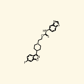 Fc1ccc2c(C3CCN(CCOC(=S)Nc4ccc5scnc5c4)CC3)noc2c1